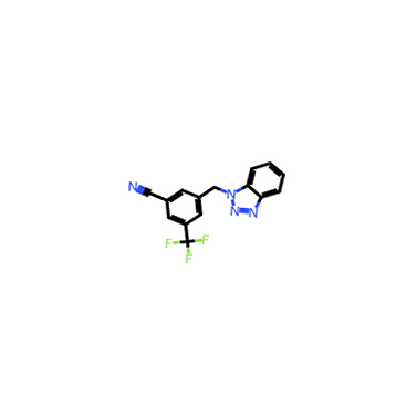 N#Cc1cc(Cn2nnc3ccccc32)cc(C(F)(F)F)c1